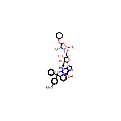 C#C[C@]1(O)[C@H](n2cnc3c(OCC)nc(NC(c4ccccc4)(c4ccccc4)c4ccc(OC)cc4)nc32)O[C@](F)(COP(C)(=O)N[C@@H](C)C(=O)OC2CCCCC2)[C@H]1O